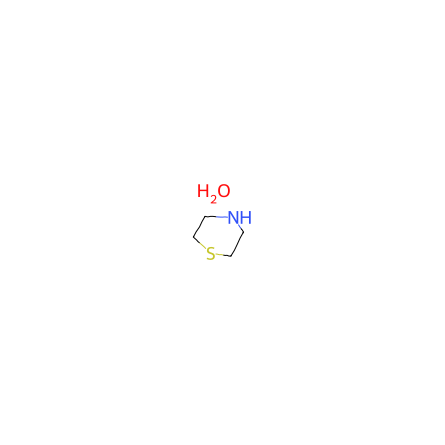 C1CSCCN1.O